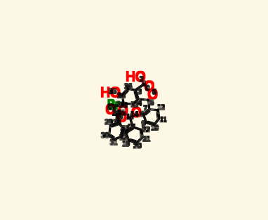 O=C(O)C1=C(C(=O)c2ccccc2)C(OC(=O)c2ccccc2)C(Br)(OC(=O)c2ccccc2)C(O)=C1